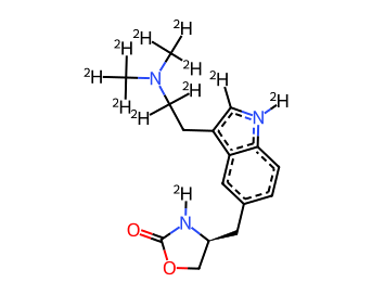 [2H]c1c(CC([2H])([2H])N(C([2H])([2H])[2H])C([2H])([2H])[2H])c2cc(C[C@H]3COC(=O)N3[2H])ccc2n1[2H]